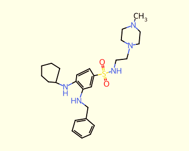 CN1CCN(CCNS(=O)(=O)c2ccc(NC3CCCCC3)c(NCc3ccccc3)c2)CC1